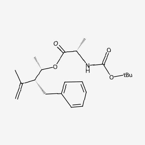 C=C(C)[C@@H](Cc1ccccc1)[C@H](C)OC(=O)[C@H](C)NC(=O)OC(C)(C)C